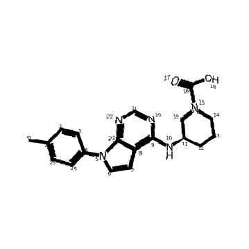 Cc1ccc(-n2ccc3c(N[C@@H]4CCCN(C(=O)O)C4)ncnc32)cc1